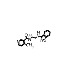 Cc1ccncc1C(=O)NCCNc1nsc2ccccc12